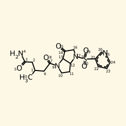 CC(CC(N)=O)CC(=O)N1CCC2C1C(=O)CN2S(=O)(=O)c1cccnc1